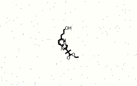 CCOC(=O)C(C)(C)c1cn2nc(CCCO)ccc2n1